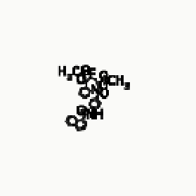 CC(=O)OC1CC(F)(F)C(OC(C)=O)c2ccccc2N1C(=O)c1ccc(NC(=O)c2cccc3ccccc23)cc1